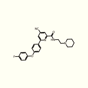 N#Cc1cc(C(=O)NCCN2CCCCC2)nc(-c2ccc(Oc3ccc(F)cc3)cc2)c1